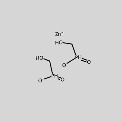 O=[PH]([O-])CO.O=[PH]([O-])CO.[Zn+2]